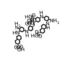 Nc1ccc(Nc2ccc(C=Cc3ccc(Nc4ccc(N)c(Nc5ccc6cc(S(=O)(=O)O)ccc6c5)c4)cc3S(=O)(=O)O)c(S(=O)(=O)O)c2)cc1Nc1ccc2cc(S(=O)(=O)O)ccc2c1